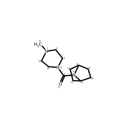 CN1CCN(C(=O)N2C3CCC2CC3)CC1